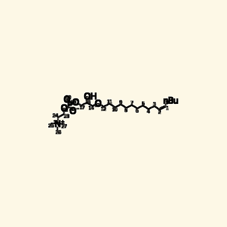 CCCC/C=C\CCCCCCCCCCOC[C@@H](O)COP(=O)([O-])OCC[N+](C)(C)C